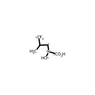 CC(CN(O)C(=O)O)C(F)(F)F